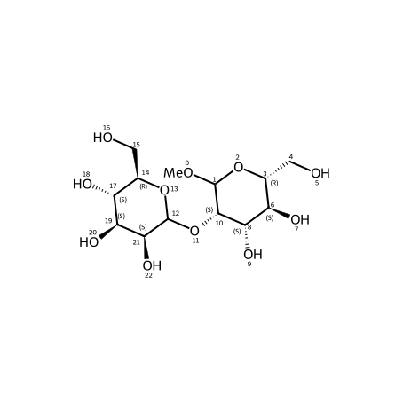 COC1O[C@H](CO)[C@@H](O)[C@H](O)[C@@H]1OC1O[C@H](CO)[C@@H](O)[C@H](O)[C@@H]1O